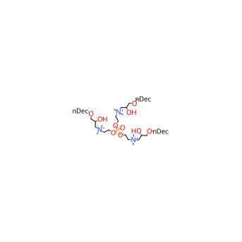 CCCCCCCCCCOCC(O)C[N+](C)(C)CCOP(=O)(OCC[N+](C)(C)CC(O)COCCCCCCCCCC)OCC[N+](C)(C)CC(O)COCCCCCCCCCC